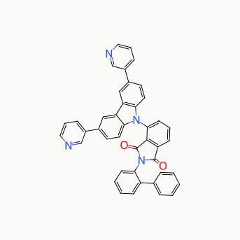 O=C1c2cccc(-n3c4ccc(-c5cccnc5)cc4c4cc(-c5cccnc5)ccc43)c2C(=O)N1c1ccccc1-c1ccccc1